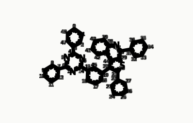 c1ccc(-c2nc(-c3ccccc3)nc(-c3cccc(-c4c(-c5ccccc5)sc5c(-c6ccccc6)nc6ccccc6c45)c3)n2)cc1